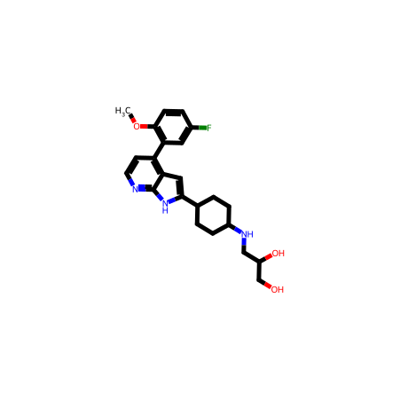 COc1ccc(F)cc1-c1ccnc2[nH]c(C3CCC(NCC(O)CO)CC3)cc12